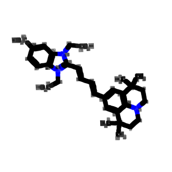 CC1(C)CCN2CCC(C)(C)c3cc(/C=C/C=C/c4n(CC(=O)O)c5cc(C(=O)O)ccc5[n+]4CC(=O)O)cc1c32